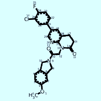 COc1ccc2c(c1)CN(C(=O)CN1C(=O)CCc3cc(-c4ccc(F)c(Cl)c4)cnc31)C2